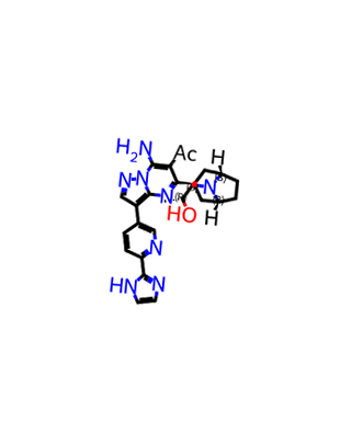 CC(=O)c1c([C@@H]2C[C@H]3CC[C@@H](C2)N3C[C@@H](C)O)nc2c(-c3ccc(-c4ncc[nH]4)nc3)cnn2c1N